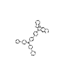 c1ccc(-c2ccc(N(c3ccc(-c4ccccc4)cc3)c3ccc(-c4ccc(-n5c6cc7ccccc7cc6n6c7ccccc7nc56)cc4)cc3)cc2)cc1